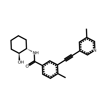 Cc1cncc(C#Cc2cc(C(=O)N[C@H]3CCCC[C@@H]3O)ccc2C)c1